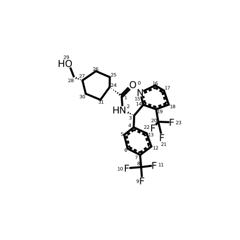 O=C(N[C@@H](c1ccc(C(F)(F)F)cc1)c1ncccc1C(F)(F)F)[C@H]1CC[C@@H](CO)CC1